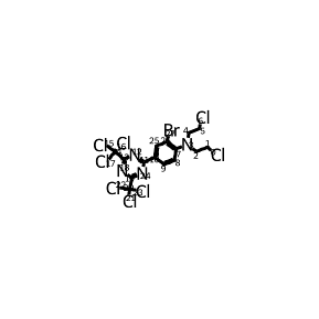 ClCCN(CCCl)c1ccc(-c2nc(C(Cl)(Cl)Cl)nc(C(Cl)(Cl)Cl)n2)cc1Br